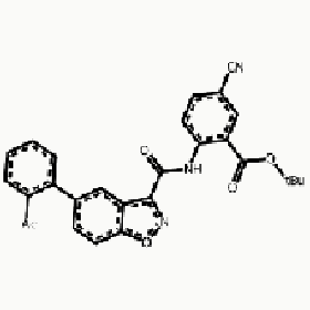 CC(=O)c1ccccc1-c1ccc2onc(C(=O)Nc3ccc(C#N)cc3C(=O)OC(C)(C)C)c2c1